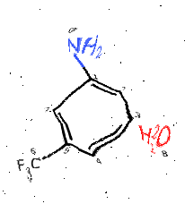 Nc1cccc(C(F)(F)F)c1.[2OH2]